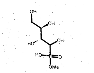 COP(=O)(O)C(O)[C@H](O)[C@H](O)CO